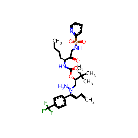 C=C/C=C(/c1ccc(C(F)(F)F)cc1)N(N)C[C@@H](OC(=O)N[C@@H](CCCC)C(=O)CNS(=O)(=O)c1ccccn1)C(C)(C)C